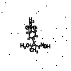 CC1(C)C(C=NO)C1c1ccc(S(N)(=O)=O)cc1